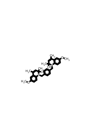 COc1ccc2c(c1)C(C)=CC(C)(C)N2Cc1ccc(CN2c3ccc(OC)cc3C(C)=CC2(C)C)cc1